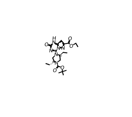 CCOC(=O)c1cc2[nH]c(=O)nc(N3C[C@@H](CC)N(C(=O)OC(C)(C)C)C[C@@H]3CC)n2n1